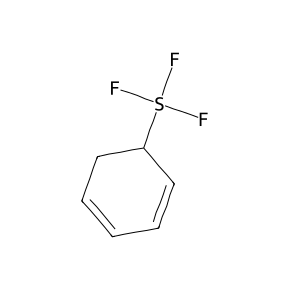 FS(F)(F)C1C=CC=CC1